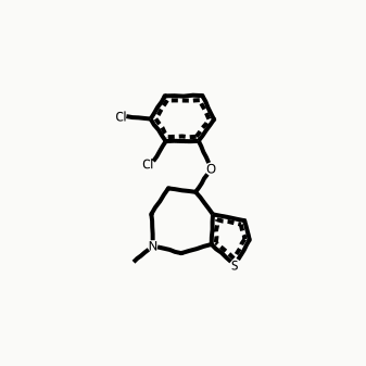 CN1CCC(Oc2cccc(Cl)c2Cl)c2ccsc2C1